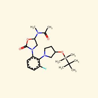 CC(=O)N(C)C1CN(c2cccc(F)c2N2CCC(O[Si](C)(C)C(C)(C)C)C2)C(=O)O1